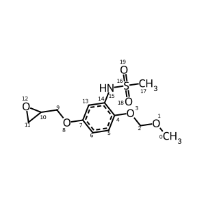 COCOc1ccc(OCC2CO2)cc1NS(C)(=O)=O